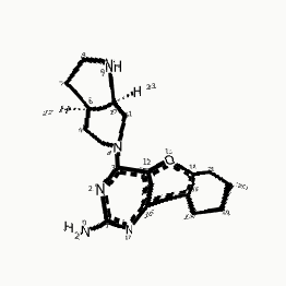 Nc1nc(N2C[C@H]3CCN[C@H]3C2)c2oc3c(c2n1)CCCC3